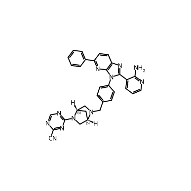 N#Cc1ncnc(N2C[C@@H]3C[C@H]2CN3Cc2ccc(-n3c(-c4cccnc4N)nc4ccc(-c5ccccc5)nc43)cc2)n1